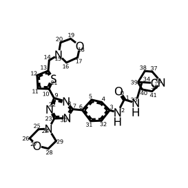 O=C(Nc1ccc(-c2nc(-c3ccc(CN4CCOCC4)s3)nc(N3CCOCC3)n2)cc1)NC1CN2CCC1CC2